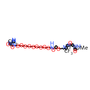 CO[C@@H]1COCC[C@@H]1N[C@@H]1CC[C@@](C(=O)N2CCc3nc(CCCCOc4cccc(C(=O)NCCOCCOCCOCCOCCOCCOCCOCCOCCOCCNC(=O)[C@H]5CC(=O)N(C)[C@@H]5c5cccnc5)c4)c(C(F)(F)F)cc3C2)(C(C)C)C1